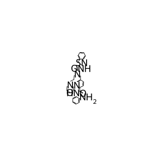 Nc1ccccc1NC(=O)c1ccc(CN(CCCN2CCOCC2)C(=O)Nc2nc3ccccc3s2)cn1